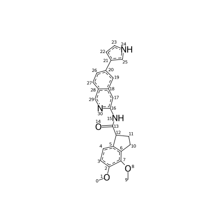 COc1ccc2c(c1OC)CCC2C(=O)Nc1cc2cc(-c3cc[nH]c3)ccc2cn1